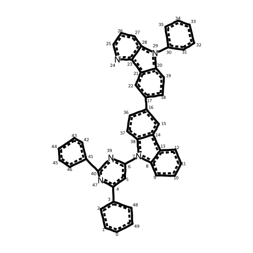 c1ccc(-c2cc(-n3c4ccccc4c4cc(-c5ccc6c(c5)c5ncccc5n6-c5ccccc5)ccc43)nc(-c3ccccc3)n2)cc1